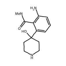 CNC(=O)c1c(N)cccc1C1(O)CCNCC1